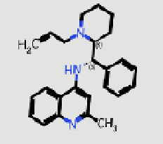 C=CCN1CCCC[C@H]1[C@@H](Nc1cc(C)nc2ccccc12)c1ccccc1